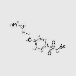 CCCOCCOc1ccc(S(=O)(=O)CC(C)=O)cc1